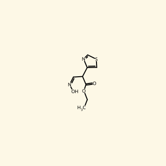 CCOC(=O)C(/C=N\O)c1cscn1